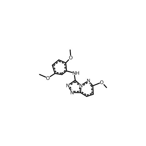 COc1ccc(OC)c(Nc2nnc3ccc(OC)nn23)c1